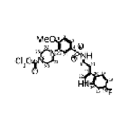 COc1ccc(S(=O)(=O)NCCc2c[nH]c3cc(F)ccc23)cc1N1CCN(C(=O)C(Cl)(Cl)Cl)CC1